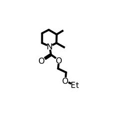 CCOCCOC(=O)N1CCCC(C)C1C